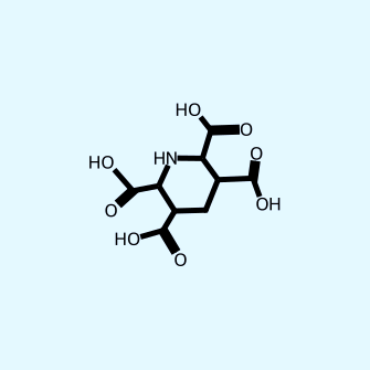 O=C(O)C1CC(C(=O)O)C(C(=O)O)NC1C(=O)O